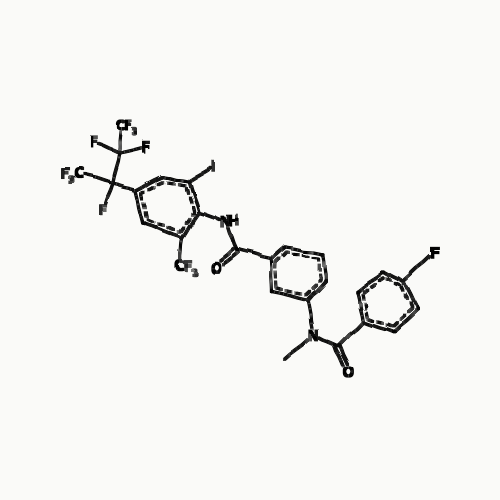 CN(C(=O)c1ccc(F)cc1)c1cccc(C(=O)Nc2c(I)cc(C(F)(C(F)(F)F)C(F)(F)C(F)(F)F)cc2C(F)(F)F)c1